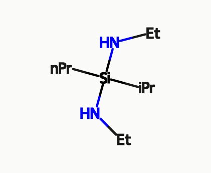 CCC[Si](NCC)(NCC)C(C)C